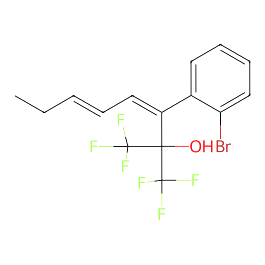 CCC=CC=C(c1ccccc1Br)C(O)(C(F)(F)F)C(F)(F)F